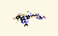 COc1cc(OC)c(Cl)c(-c2cc3cnc(NC(C)C)nc3n(Cc3cccc(NC(=O)/C=C/C[N+](C)(C)Cc4c([N+](=O)[O-])ncn4C)c3)c2=O)c1Cl.[Br-]